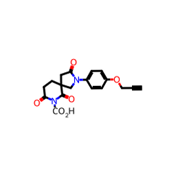 C#CCOc1ccc(N2CC3(CCC(=O)N(C(=O)O)C3=O)CC2=O)cc1